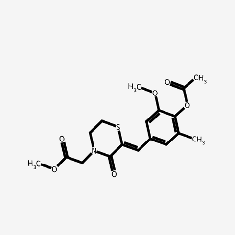 COC(=O)CN1CCSC(=Cc2cc(C)c(OC(C)=O)c(OC)c2)C1=O